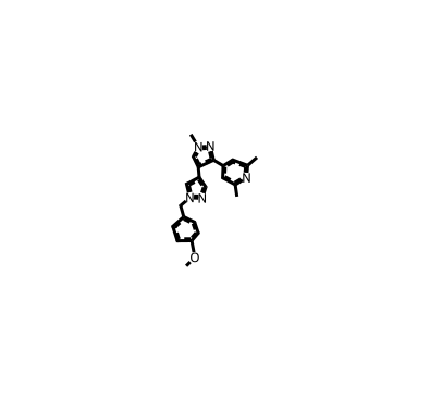 COc1ccc(Cn2cc(-c3cn(C)nc3-c3cc(C)nc(C)c3)cn2)cc1